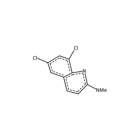 CNc1ccc2cc(Cl)cc(Cl)c2n1